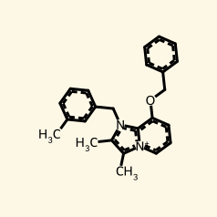 Cc1cccc(Cn2c(C)c(C)[n+]3cccc(OCc4ccccc4)c23)c1